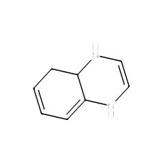 C1=CCC2NC=CNC2=C1